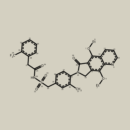 CCOc1c2c(c(OCC)c3ncccc13)CN(c1ccc(CS(=O)(=O)NC(=O)Cc3ccccc3C(F)(F)F)cc1C)C2=O